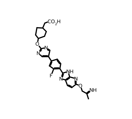 CC(=N)COc1ccc2nc(-c3ccc(-c4cnc(OC5CCC(CC(=O)O)CC5)nc4)cc3F)[nH]c2n1